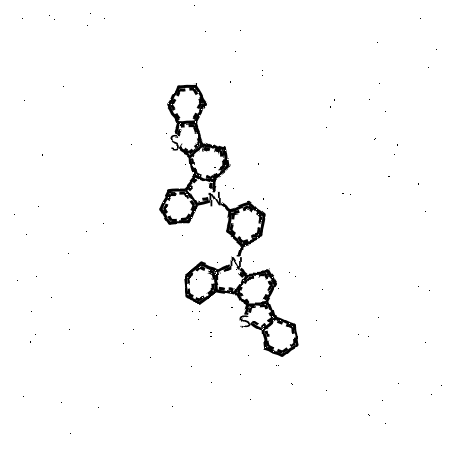 c1cc(-n2c3ccccc3c3c4sc5ccccc5c4ccc32)cc(-n2c3ccccc3c3c4sc5ccccc5c4ccc32)c1